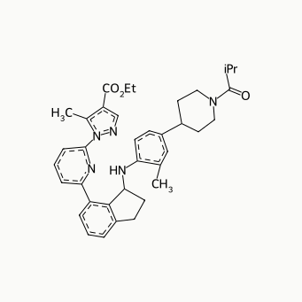 CCOC(=O)c1cnn(-c2cccc(-c3cccc4c3C(Nc3ccc(C5CCN(C(=O)C(C)C)CC5)cc3C)CC4)n2)c1C